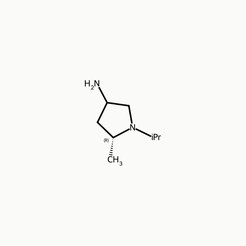 CC(C)N1CC(N)C[C@H]1C